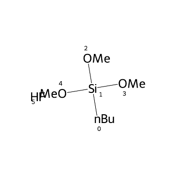 CCCC[Si](OC)(OC)OC.F